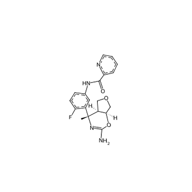 C[C@]1(c2cc(NC(=O)c3ccccn3)ccc2F)N=C(N)O[C@@H]2COC[C@@H]21